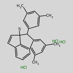 Cc1cc(C)cc(C(c2cc(C)cc(C)c2)[C]2([Ti])C=Cc3ccccc32)c1.Cl.Cl.Cl